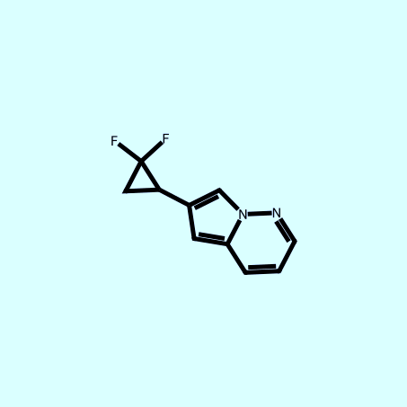 FC1(F)CC1c1cc2cccnn2c1